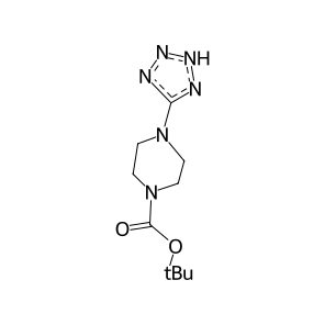 CC(C)(C)OC(=O)N1CCN(c2nn[nH]n2)CC1